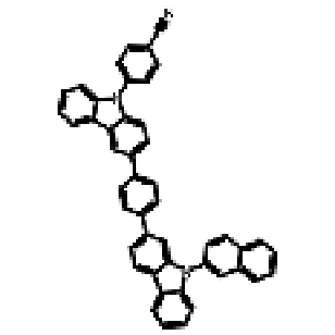 N#Cc1ccc(-n2c3ccccc3c3cc(-c4ccc(-c5ccc6c7ccccc7n(-c7ccc8ccccc8c7)c6c5)cc4)ccc32)cc1